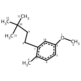 COc1ccc(C)c(CCC(C)(C)C)c1